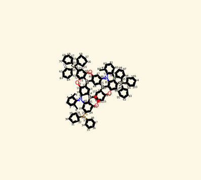 Cc1cccc(C)c1N1c2cc3c(cc2B2c4ccccc4Oc4cc([S+](c5ccccc5)c5ccccc5)cc1c42)B1c2cc4c(cc2Oc2cc([Si](c5ccccc5)(c5ccccc5)c5ccccc5)cc(c21)O3)N(c1c(C)cccc1C)c1cc([Si](c2ccccc2)(c2ccccc2)c2ccccc2)cc2c1B4c1ccccc1O2